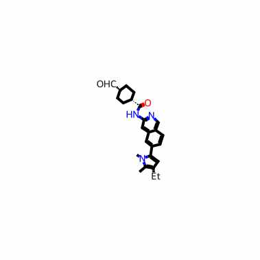 CCc1cc(-c2ccc3cnc(NC(=O)[C@H]4CC[C@H](C=O)CC4)cc3c2)n(C)c1C